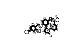 COC(=O)c1cccc(-n2c(C)ccc2-c2cc(Br)ccc2OCc2ccc(Cl)cc2Cl)n1